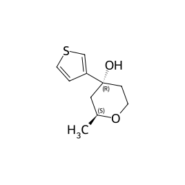 C[C@H]1C[C@@](O)(c2ccsc2)CCO1